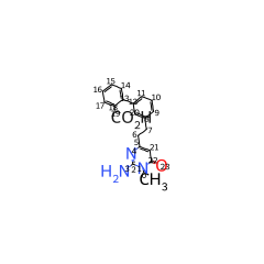 Cn1c(N)nc(CCc2cccc(-c3ccccc3C(=O)O)c2)cc1=O